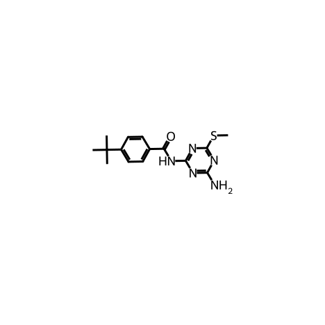 CSc1nc(N)nc(NC(=O)c2ccc(C(C)(C)C)cc2)n1